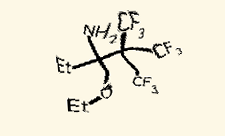 CCOC(N)(CC)C(C(F)(F)F)(C(F)(F)F)C(F)(F)F